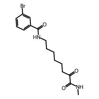 CNC(=O)C(=O)CCCCCCNC(=O)c1cccc(Br)c1